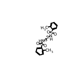 Cc1ccccc1S(=O)(=O)NSSNS(=O)(=O)c1ccccc1C